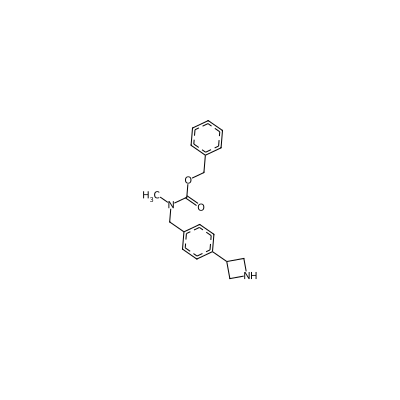 CN(Cc1ccc(C2CNC2)cc1)C(=O)OCc1ccccc1